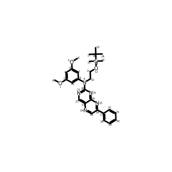 COc1cc(OC)cc(N(CCO[Si](C)(C)C(C)(C)C)c2ncc3ncc(-c4ccccc4)nc3n2)c1